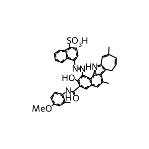 COc1ccc(NC(=O)c2cc3cc(C)c4c5c([nH]c4c3c(N=Nc3ccc(S(=O)(=O)O)c4ccccc34)c2O)C=C(C)C=CC5)c(C)c1